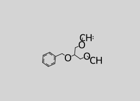 [CH]OCC(CO[CH])OCc1ccccc1